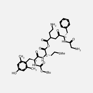 CSCC[C@H](NC(=O)[C@H](Cc1c(C)cc(O)cc1C)NC(=O)OC(C)(C)C)C(=O)OC(=O)C(CCN)CC(=O)[C@H](Cc1ccccc1)NC(=O)CN